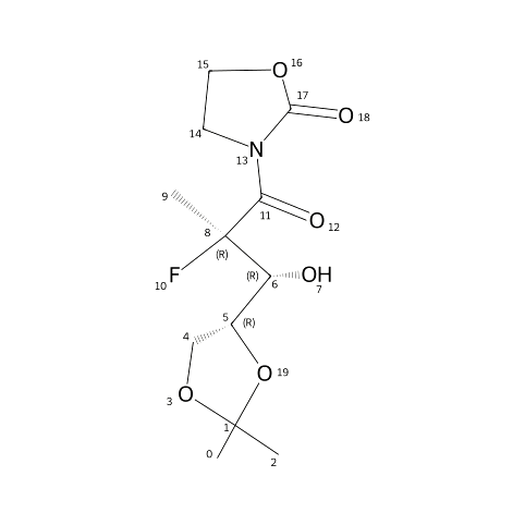 CC1(C)OC[C@H]([C@@H](O)[C@@](C)(F)C(=O)N2CCOC2=O)O1